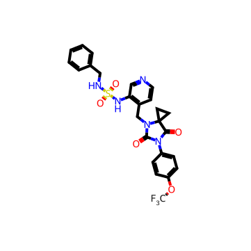 O=C1N(c2ccc(OC(F)(F)F)cc2)C(=O)C2(CC2)N1Cc1ccncc1NS(=O)(=O)NCc1ccccc1